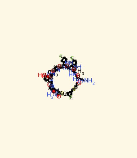 C[C@H]1NC(=O)[C@H](CCCCN)NC(=O)CCSCc2cc(F)cc(c2)CSC[C@@H](C(N)=O)NC(=O)[C@]2(C)CCCN2C(=O)[C@H](Cc2ccc(O)cc2)NC(=O)[C@H]([C@@H](C)O)NC(=O)[C@@H]2CCCN2C(=O)[C@H](Cc2c[nH]c3ccc(F)cc23)NC(=O)[C@H](Cc2c[nH]c3ccc(F)cc23)NC1=O